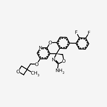 CC1(COc2cnc3c(c2)[C@]2(COC(N)=N2)c2cc(-c4cccc(F)c4F)ccc2O3)COC1